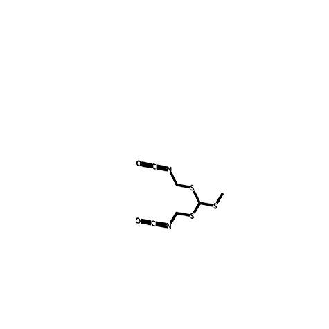 CSC(SCN=C=O)SCN=C=O